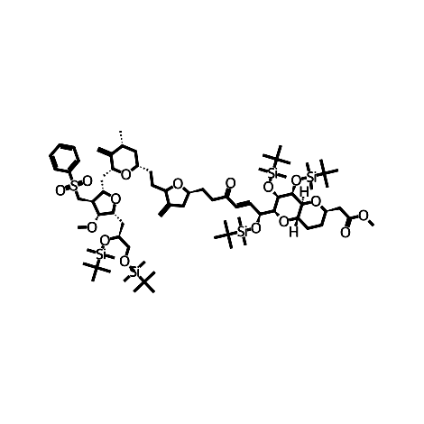 C=C1C[C@H](CCC(=O)C=C[C@H](O[Si](C)(C)C(C)(C)C)[C@@H]2O[C@H]3CC[C@H](CC(=O)OC)O[C@@H]3[C@H](O[Si](C)(C)C(C)(C)C)[C@@H]2O[Si](C)(C)C(C)(C)C)OC1CC[C@H]1C[C@@H](C)C(=C)[C@@H](C[C@@H]2O[C@H](C[C@@H](CO[Si](C)(C)C(C)(C)C)O[Si](C)(C)C(C)(C)C)[C@H](OC)[C@H]2CS(=O)(=O)c2ccccc2)O1